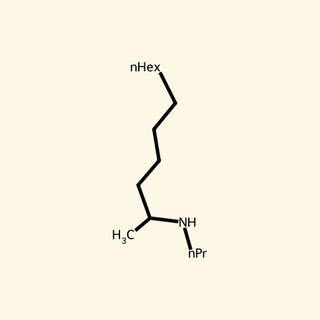 CCCCCCCCCCC(C)NCCC